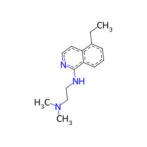 CCc1cccc2c(NCCN(C)C)nccc12